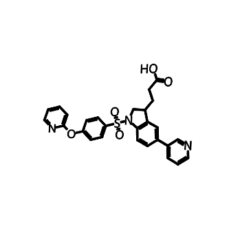 O=C(O)CCC1CN(S(=O)(=O)c2ccc(Oc3ccccn3)cc2)c2ccc(-c3cccnc3)cc21